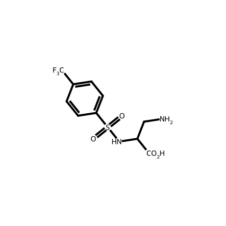 NCC(NS(=O)(=O)c1ccc(C(F)(F)F)cc1)C(=O)O